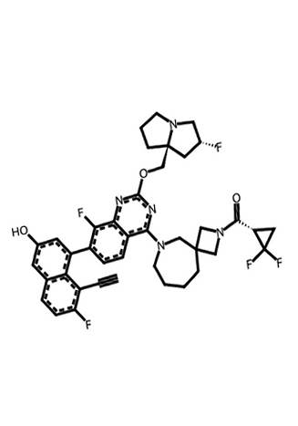 C#Cc1c(F)ccc2cc(O)cc(-c3ccc4c(N5CCCCC6(CN(C(=O)[C@@H]7CC7(F)F)C6)C5)nc(OC[C@@]56CCCN5C[C@H](F)C6)nc4c3F)c12